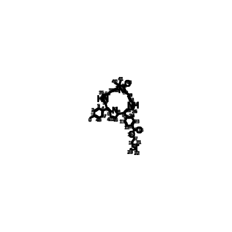 Cc1ccc(-c2c3nc(c(-c4ccc(C(=O)OCC[Si](C)(C)C)cc4)c4ccc(cc5nc(cc6ccc2[nH]6)C(C)(C)C5=O)[nH]4)C=C3)cc1